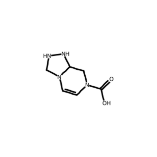 O=C(O)N1C=CN2CNNC2C1